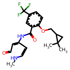 CN/C=C\C(=C/C=O)NC(=O)c1cc(C(F)(F)F)ccc1OCC1CC1(C)C